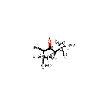 CCCCC(C(=O)C(CCCC)[Si](CC)(OC)OC)[Si](CC)(OC)OC